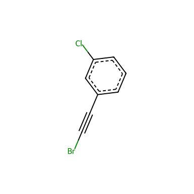 Clc1cccc(C#CBr)c1